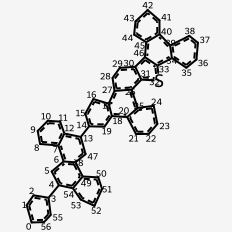 c1ccc(-c2cc3c4ccccc4c(-c4ccc5c(c4)c4ccccc4c4c5ccc5c4sc4c6ccccc6c6ccccc6c54)cc3c3ccccc23)cc1